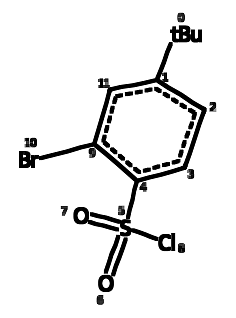 CC(C)(C)c1ccc(S(=O)(=O)Cl)c(Br)c1